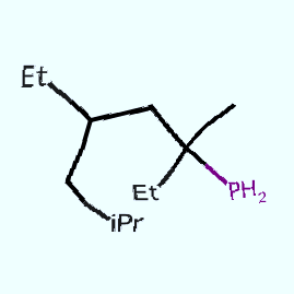 CCC(CC(C)C)CC(C)(P)CC